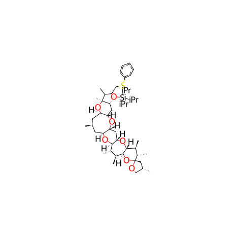 CC(CCSc1ccccc1)[C@]1(C)O[C@@H]2C[C@H](C)C[C@@H]3O[C@@H]4[C@@H](C)[C@H](C)[C@@H]5O[C@]6(C[C@H](C)CO6)[C@@H](C)[C@H](C)[C@H]5O[C@H]4C[C@H]3O[C@H]2C[C@H]1O[Si](C(C)C)(C(C)C)C(C)C